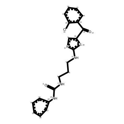 O=C(NCCCNc1ncc(C(=O)c2ccccc2Cl)s1)Nc1ccccc1